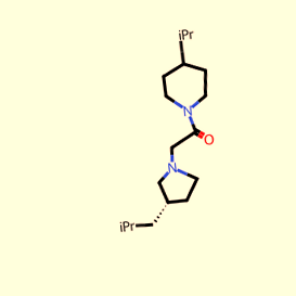 CC(C)C[C@H]1CCN(CC(=O)N2CCC(C(C)C)CC2)C1